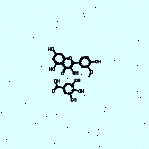 COc1cc(-c2oc3cc(O)cc(O)c3c(=O)c2O)ccc1O.O=C(O)c1cc(O)c(O)c(O)c1